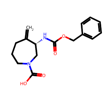 C=C1CCCN(C(=O)O)C[C@H]1NC(=O)OCc1ccccc1